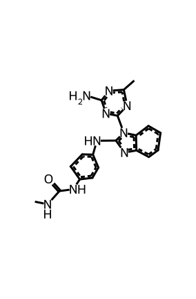 CNC(=O)Nc1ccc(Nc2nc3ccccc3n2-c2nc(C)nc(N)n2)cc1